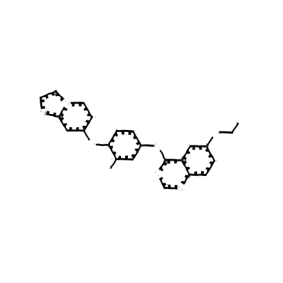 CCSc1ccc2ncnc(Nc3ccc(Oc4ccn5ccnc5c4)c(C)c3)c2c1